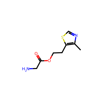 Cc1ncsc1CCOC(=O)CN